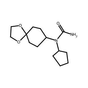 NC(=O)N(C1CCCC1)C1CCC2(CC1)OCCO2